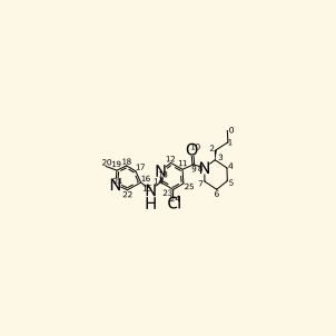 CCC[C@H]1CCCCN1C(=O)c1cnc(Nc2ccc(C)nc2)c(Cl)c1